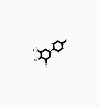 CC1CCC([C@@H]2CC(O)C(C#N)C(F)C2)CC1